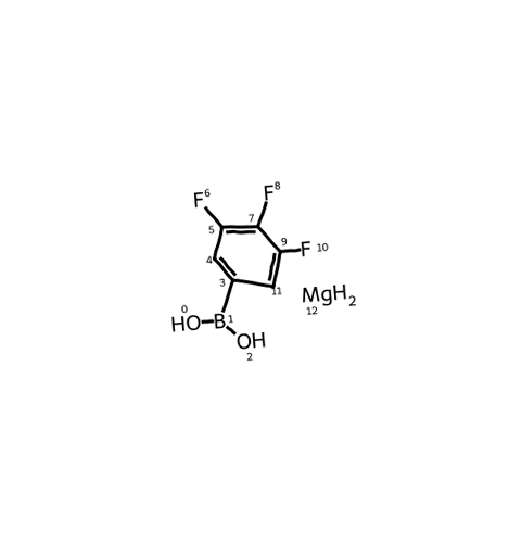 OB(O)c1cc(F)c(F)c(F)c1.[MgH2]